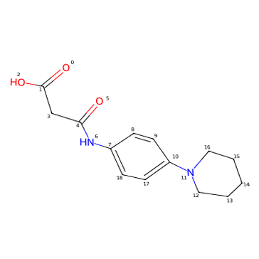 O=C(O)CC(=O)Nc1ccc(N2CCCCC2)cc1